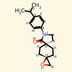 CC(C)c1ccc(N2CC[C@]3(CC[C@@]4(CC3)CO4)C2=O)cc1